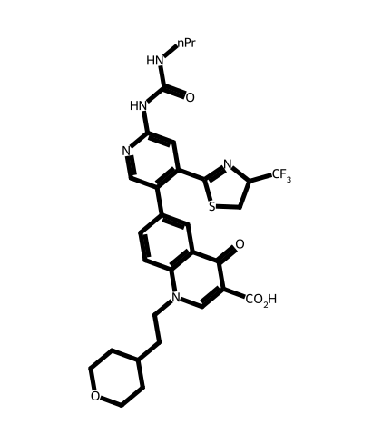 CCCNC(=O)Nc1cc(C2=NC(C(F)(F)F)CS2)c(-c2ccc3c(c2)c(=O)c(C(=O)O)cn3CCC2CCOCC2)cn1